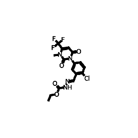 CCOC(=O)NN=Cc1cc(-n2c(=O)cc(C(F)(F)F)n(C)c2=O)ccc1Cl